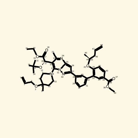 C=CCOC1(C)CCN(c2c([C@H](OC(C)(C)C)C(=O)OCC)c(C)nc3cc(-c4cccc(-c5cc(C(=O)OC)ccc5O[C@@H](C)CC=C)c4)nn23)CC1